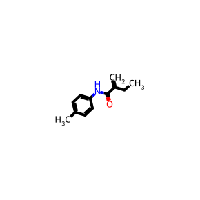 C=C(CC)C(=O)Nc1ccc(C)cc1